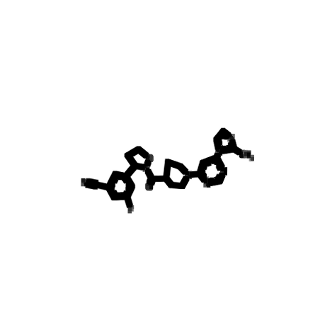 Cc1nccn1-c1cc(N2CCC(C(=O)N3OCCC3c3cc(F)cc(C#N)c3)CC2)ncn1